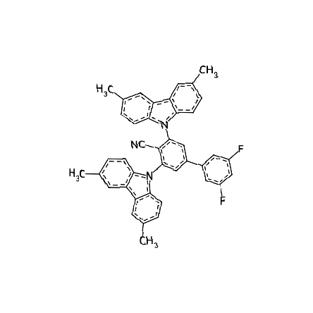 Cc1ccc2c(c1)c1cc(C)ccc1n2-c1cc(-c2cc(F)cc(F)c2)cc(-n2c3ccc(C)cc3c3cc(C)ccc32)c1C#N